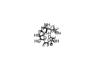 CC(OP(=O)(O)C(C)O)C(C)[C@H]1O[C@@H](n2cc(CO[Si](C)(C)C(C)(C)C)c(N)nc2=O)[C@H](O)[C@@H]1O